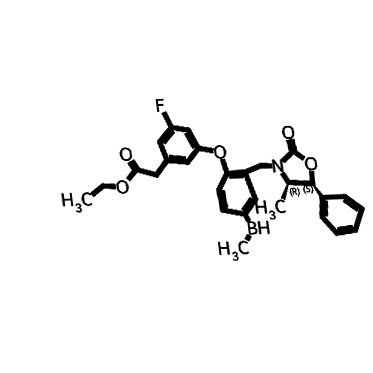 CBc1ccc(Oc2cc(F)cc(CC(=O)OCC)c2)c(CN2C(=O)O[C@@H](c3ccccc3)[C@H]2C)c1